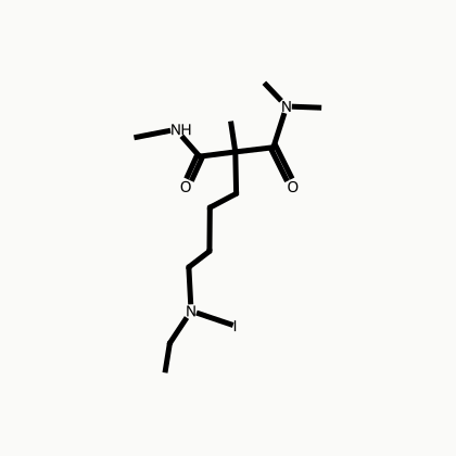 CCN(I)CCCCC(C)(C(=O)NC)C(=O)N(C)C